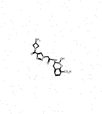 NC1CN(C(=O)c2cn(CC(=O)NC3Cc4cccc(C(=O)O)c4OB3O)nn2)C1